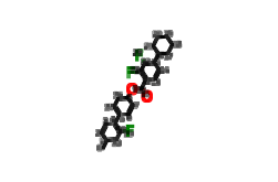 Cc1ccc(-c2ccc(OC(=O)c3ccc(C4CCCCC4)c(F)c3F)cc2)c(F)c1